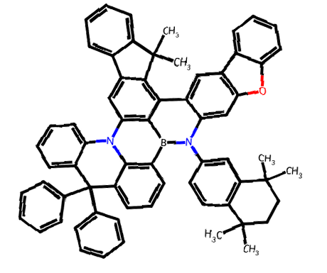 CC1(C)CCC(C)(C)c2cc(N3B4c5cccc6c5N(c5ccccc5C6(c5ccccc5)c5ccccc5)c5cc6c(c(c54)-c4cc5c(cc43)oc3ccccc35)C(C)(C)c3ccccc3-6)ccc21